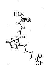 O=C(O)CCCCC1C2C=CC(C2)C1CCCCC(=O)O